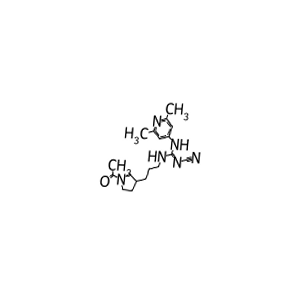 CC(=O)N1CCC(CCCN/C(=N/C#N)Nc2cc(C)nc(C)c2)C1